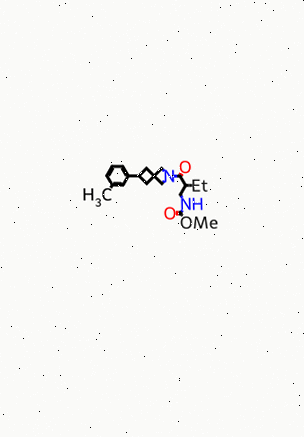 CCC(CNC(=O)OC)C(=O)N1CC2(CC(c3cccc(C)c3)C2)C1